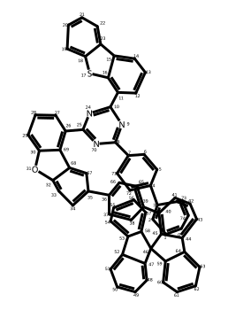 c1ccc(-c2ccc(-c3nc(-c4cccc5c4sc4ccccc45)nc(-c4cccc5oc6ccc(-c7ccc(-c8cccc9c8C8(c%10ccccc%10-c%10ccccc%108)c8ccccc8-9)cc7)cc6c45)n3)cc2)cc1